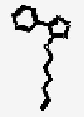 C=CCCCCOc1nsnc1-c1cccnc1